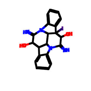 N=C1C(O)C2(I)c3ccccc3N3C(=N)C(O)C4c5ccccc5N1C4C32